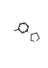 O=C(O)c1cccc([C@H]2CCN[C@@H]2C(=O)O)c1